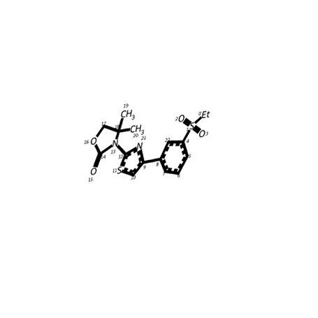 CCS(=O)(=O)c1cccc(-c2csc(N3C(=O)OCC3(C)C)n2)c1